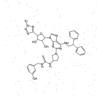 CCn1nnc(C2OC(n3cnc4c(NCC(c5ccccc5)c5ccccc5)nc(N5CCC(NC(=O)NCc6cccc(O)c6)C5)nc43)C(O)C2O)n1